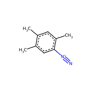 Cc1cc(C)c([N+]#N)cc1C